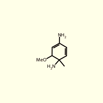 COC1C=C(N)C=CC1(C)N